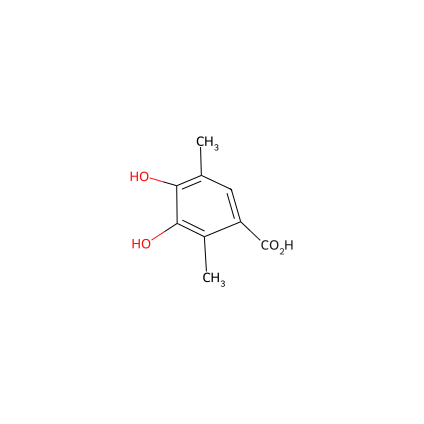 Cc1cc(C(=O)O)c(C)c(O)c1O